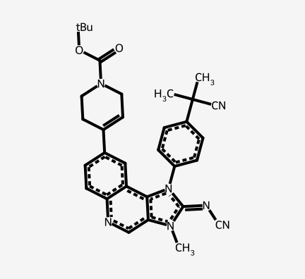 Cn1c(=NC#N)n(-c2ccc(C(C)(C)C#N)cc2)c2c3cc(C4=CCN(C(=O)OC(C)(C)C)CC4)ccc3ncc21